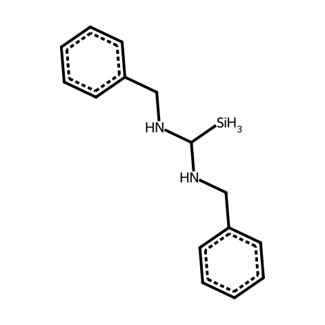 [SiH3]C(NCc1ccccc1)NCc1ccccc1